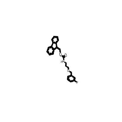 O=C(NCCCOCc1cccc(F)c1)OCC1c2ccccc2-c2ccccc21